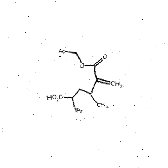 C=C(C(=O)OCC(C)=O)C(C)CC(C(=O)O)C(C)C